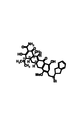 CCN(Cc1cc(O)c2c(c1OC)C[C@H]1C[C@H]3[C@H](N(C)C)C(O)=C(C(N)=O)C(=O)[C@@]3(O)C(O)=C1C2=O)C1Cc2ccccc2C1